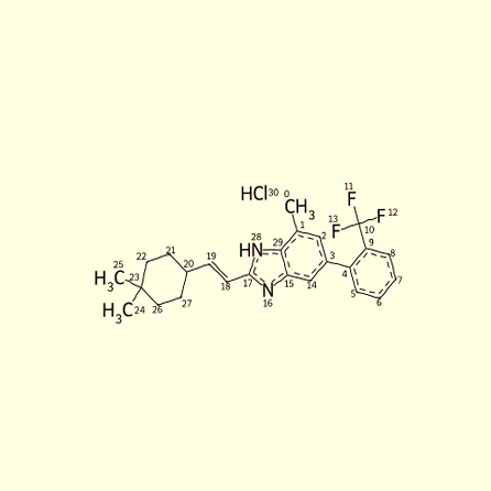 Cc1cc(-c2ccccc2C(F)(F)F)cc2nc(C=CC3CCC(C)(C)CC3)[nH]c12.Cl